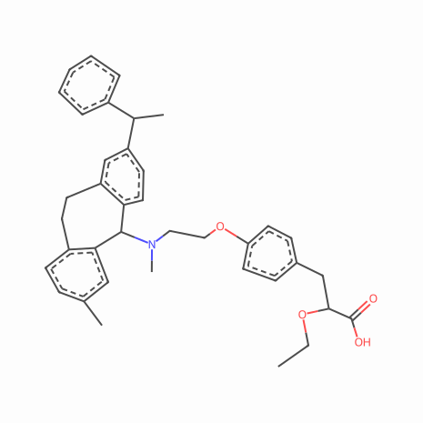 CCOC(Cc1ccc(OCCN(C)C2c3ccc(C(C)c4ccccc4)cc3CCc3ccc(C)cc32)cc1)C(=O)O